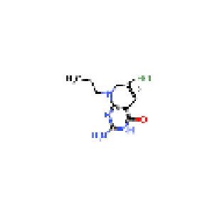 CCCN1CC(C)=Cc2c1nc(N)[nH]c2=O.Cl